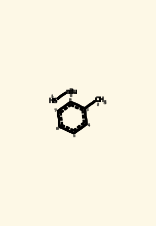 CCCCS.Cc1ccccc1